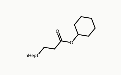 CCCCCCCC[CH]C(=O)OC1CCCCC1